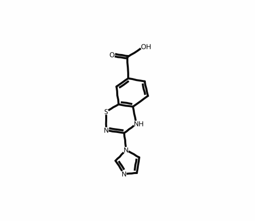 O=C(O)c1ccc2c(c1)SN=C(n1ccnc1)N2